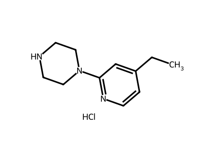 CCc1ccnc(N2CCNCC2)c1.Cl